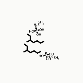 CCCCC(C)CC.CCCCC(C)CC.OP(O)(O)=S.OP(O)(O)=S.S.S.S.S